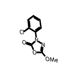 COc1nn(-c2ccccc2Cl)c(=O)o1